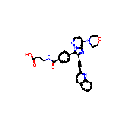 O=C(O)CCNC(=O)c1ccc(-c2c(C#Cc3ccc4ccccc4n3)nc3c(N4CCOCC4)ccnn23)cc1